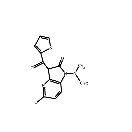 CN(C=O)N1C(=O)C(C(=O)c2cccs2)c2nc(Cl)ccc21